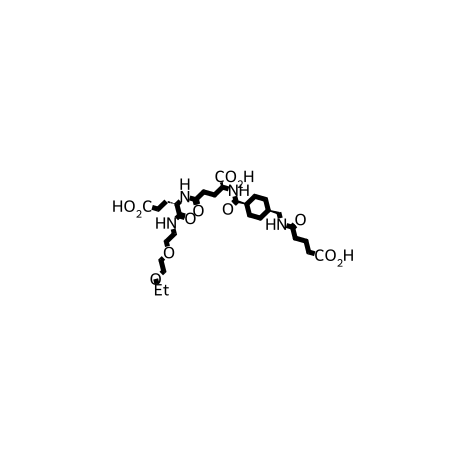 CCOCCOCCNC(=O)[C@H](CCC(=O)O)NC(=O)CC[C@H](NC(=O)[C@H]1CC[C@@H](CNC(=O)CCCC(=O)O)CC1)C(=O)O